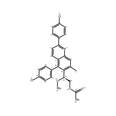 Cc1cc2nc(-c3ccc(Cl)cc3)ccc2c(-c2ccc(Cl)cc2)c1[C@@H](COC(=O)C(C)(C)C)OC(C)(C)C